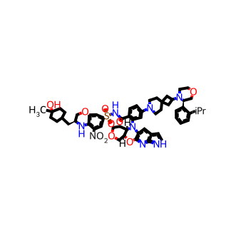 CC(C)c1ccccc1[C@@H]1COCCN1C1CC2(CCN(c3ccc(C(=O)NS(=O)(=O)c4cc5c(c([N+](=O)[O-])c4)N[C@@H](CC4CCC(C)(O)CC4)CO5)c(N4c5cc6cc[nH]c6nc5O[C@H]5COCC[C@@H]54)c3)CC2)C1